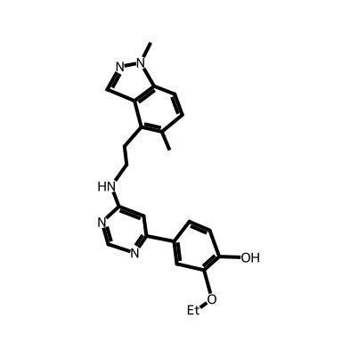 CCOc1cc(-c2cc(NCCc3c(C)ccc4c3cnn4C)ncn2)ccc1O